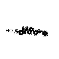 Cn1c(C(=O)N2CCCc3c(-c4cccc(OCCN5CCOCC5)c4)cccc32)nc2c1CN(CC(=O)O)CC2